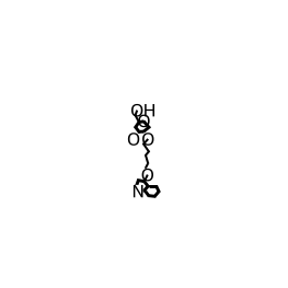 O=c1cc(CO)occ1OCCCCCOc1ccnc2ccccc12